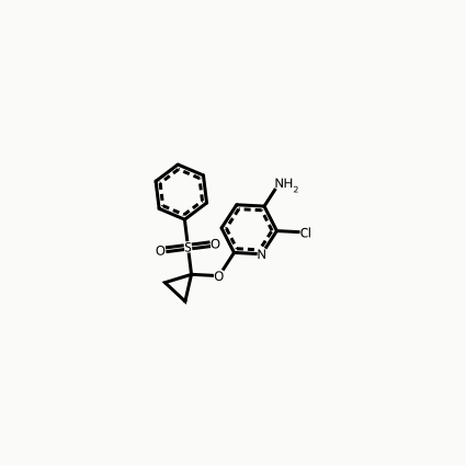 Nc1ccc(OC2(S(=O)(=O)c3ccccc3)CC2)nc1Cl